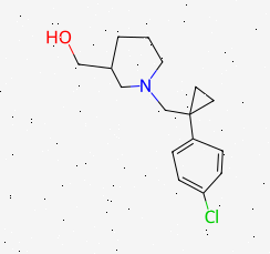 OCC1CCCN(CC2(c3ccc(Cl)cc3)CC2)C1